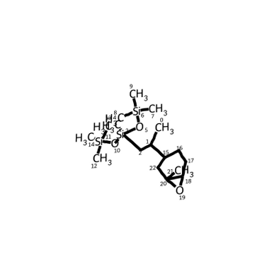 CC(C[Si](C)(O[Si](C)(C)C)O[Si](C)(C)C)C1CCC2OC2(C)C1